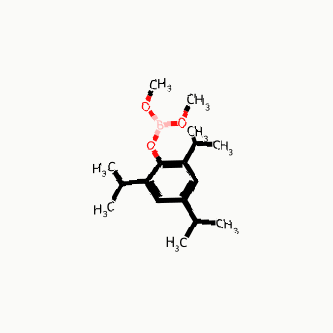 COB(OC)Oc1c(C(C)C)cc(C(C)C)cc1C(C)C